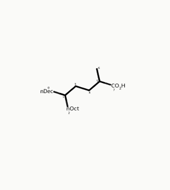 CCCCCCCCCCC(CCCCCCCC)CCC(C)C(=O)O